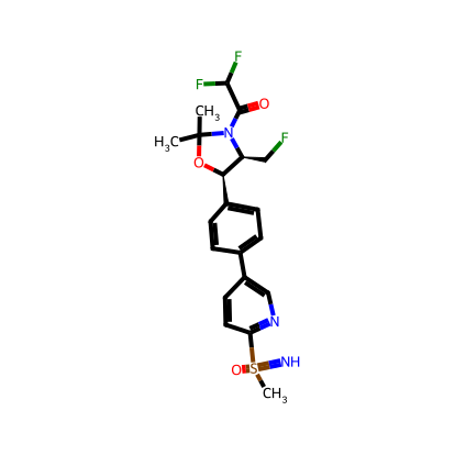 CC1(C)O[C@H](c2ccc(-c3ccc(S(C)(=N)=O)nc3)cc2)[C@H](CF)N1C(=O)C(F)F